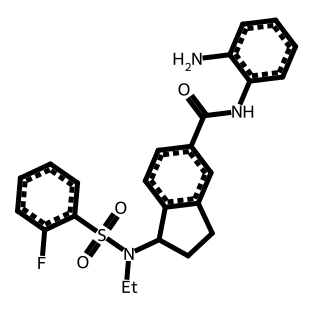 CCN(C1CCc2cc(C(=O)Nc3ccccc3N)ccc21)S(=O)(=O)c1ccccc1F